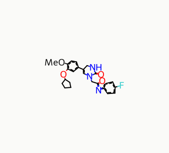 COc1ccc(C2=CN(Cc3nc4ccc(F)cc4o3)C(=O)NC2)cc1OC1CCCC1